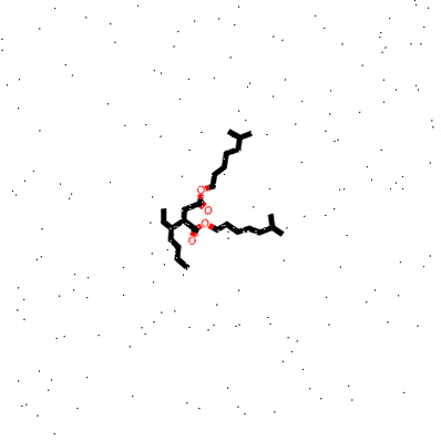 CCCCC(CC)C(CC(=O)OCCCCCC(C)C)C(=O)OCCCCCC(C)C